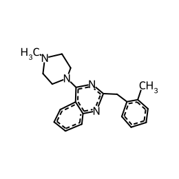 Cc1ccccc1Cc1nc(N2CCN(C)CC2)c2ccccc2n1